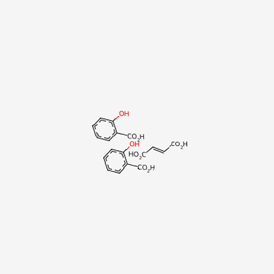 O=C(O)/C=C/C(=O)O.O=C(O)c1ccccc1O.O=C(O)c1ccccc1O